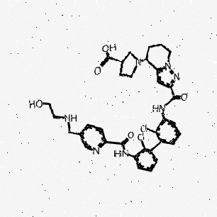 O=C(Nc1cccc(-c2cccc(NC(=O)c3cc4n(n3)CCC[C@@H]4N3CC[C@@H](C(=O)O)C3)c2Cl)c1Cl)c1ccc(CNCCO)cn1